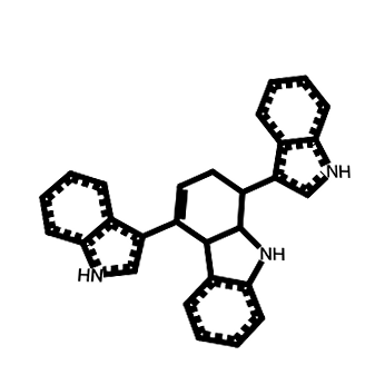 C1=C(c2c[nH]c3ccccc23)C2c3ccccc3NC2C(c2c[nH]c3ccccc23)C1